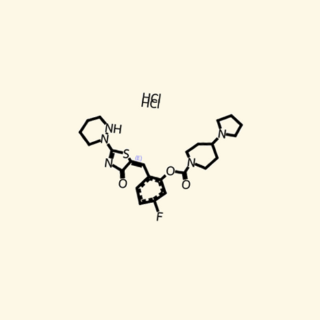 Cl.Cl.O=C1N=C(N2CCCCN2)S/C1=C/c1ccc(F)cc1OC(=O)N1CCC(N2CCCC2)CC1